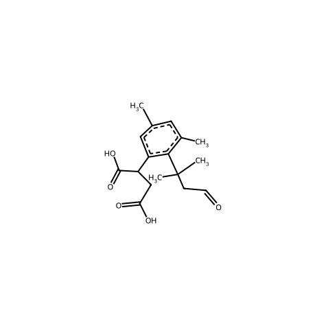 Cc1cc(C)c(C(C)(C)CC=O)c(C(CC(=O)O)C(=O)O)c1